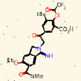 CCOc1cc2c(cc1C(=O)NC)C(=N)N(CC(=O)c1cc(C(=O)O)c(OC(=O)C(F)(F)F)c(C(C)(C)C)c1)C2